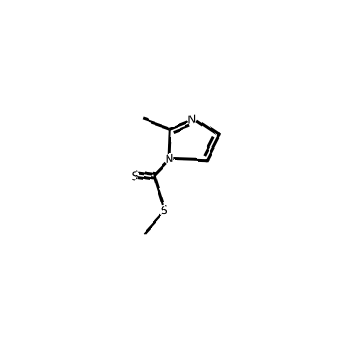 CSC(=S)n1ccnc1C